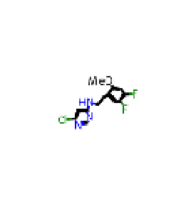 COc1cc(F)c(F)cc1CCNc1cc(Cl)ncn1